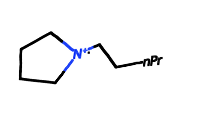 CCCCC[N+]1CCCC1